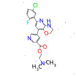 CN(C)CCOC(=O)c1cncc(-c2cc(-c3cc(Cl)ccc3F)nc3c2OCCN3)c1